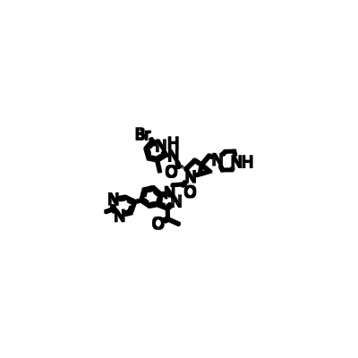 CC(=O)c1nn(CC(=O)N2C3CC3(CN3CCNCC3)C[C@H]2C(=O)Nc2nc(Br)ccc2C)c2ccc(-c3cnc(C)nc3)cc12